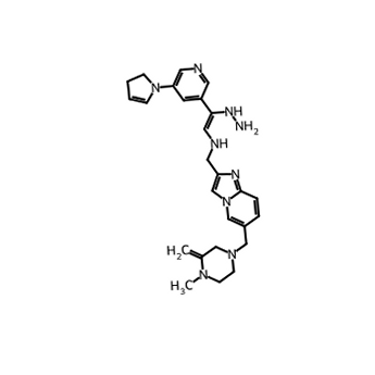 C=C1CN(Cc2ccc3nc(CN/C=C(\NN)c4cncc(N5C=CCC5)c4)cn3c2)CCN1C